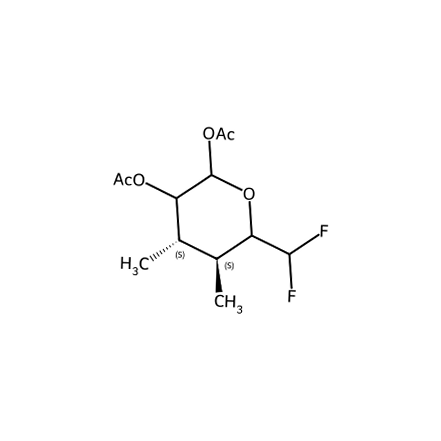 CC(=O)OC1OC(C(F)F)[C@@H](C)[C@H](C)C1OC(C)=O